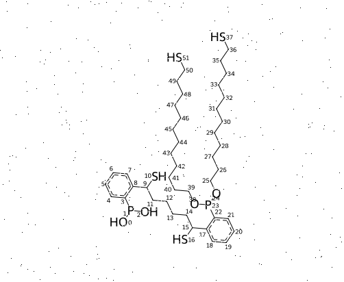 OP(O)c1ccccc1C(S)CCCCC(S)c1ccccc1P(OCCCCCCCCCCCCS)OCCCCCCCCCCCCS